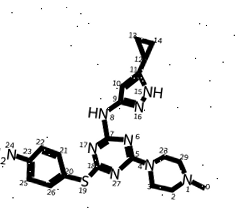 CN1CCN(c2nc(Nc3cc(C4CC4)[nH]n3)nc(Sc3ccc(N)cc3)n2)CC1